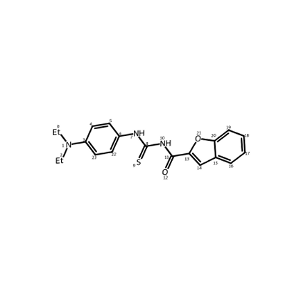 CCN(CC)c1ccc(NC(=S)NC(=O)c2cc3ccccc3o2)cc1